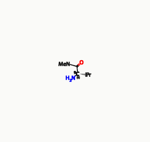 CNC(=O)[9C@@H](N)C(C)C